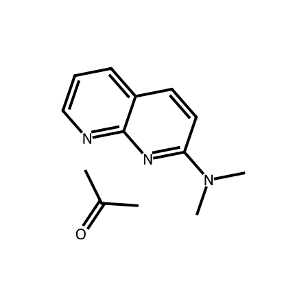 CC(C)=O.CN(C)c1ccc2cccnc2n1